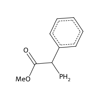 COC(=O)C(P)c1ccccc1